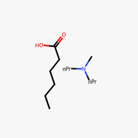 CCCCCC(=O)O.CCCN(C)CCC